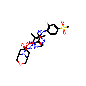 Cc1c(Nc2ccc(S(C)(=O)=O)cc2F)ncnc1OC1CC2COCC(C1)N2C(=O)NNC(=O)C(C)C